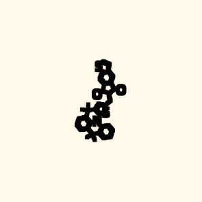 CC1(C)c2ccccc2N2c3sc(/C=C4/C(=O)c5cc6ccsc6cc5C4=O)cc3C(C)(C)c3cccc1c32